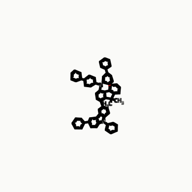 CC1(C)c2ccccc2-c2c(N(c3ccc(-c4ccccc4)cc3)c3cccc(-c4ccccc4)c3)ccc(-c3ccc4c(c3)c3cc(-c5ccccc5)ccc3n4-c3ccccc3)c21